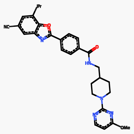 COc1ccnc(N2CCC(CNC(=O)c3ccc(-c4nc5cc(C#N)cc(C(C)C)c5o4)cc3)CC2)n1